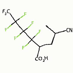 CC(C#N)CC(C(=O)O)C(F)(F)C(F)(F)C(F)(F)C(F)(F)F